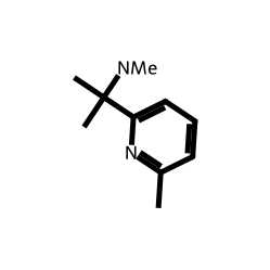 CNC(C)(C)c1cccc(C)n1